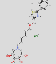 Cl.O[C@H]1[C@H](O)[C@@H](O)CN(CCCCCCOCc2csc(-c3ccccc3F)n2)C[C@@H]1O